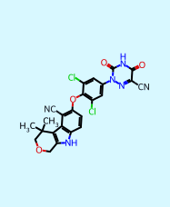 CC1(C)COCc2[nH]c3ccc(Oc4c(Cl)cc(-n5nc(C#N)c(=O)[nH]c5=O)cc4Cl)c(C#N)c3c21